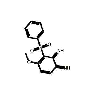 COC1=C(S(=O)(=O)c2ccccc2)C(=N)C(=N)C=C1